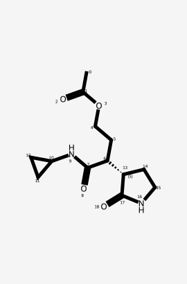 CC(=O)OCCC(C(=O)NC1CC1)[C@@H]1CCNC1=O